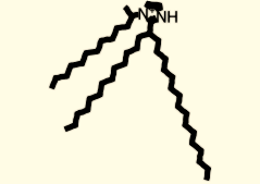 CCCCCCCCCCCCCCCCC(CCCCCCCCCCCCC)c1[nH]cc[n+]1C(C)CCCCCCCCCCC